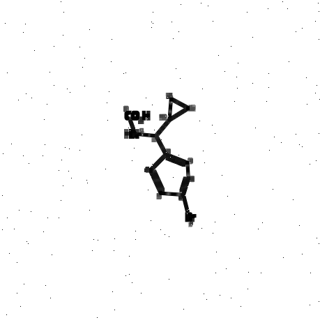 O=C(O)NC(c1ccc(Br)cc1)C1CC1